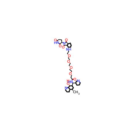 Cc1cc(C(NC(=O)CCOCCOCCOCCOCCNc2cccc3c2C(=O)N(C2CCC(=O)NC2=O)C3=O)c2cccnc2)c(O)c2ncccc12